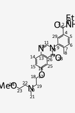 CCNC(=O)c1ccc(C)c(-n2cnc3ccc(OCCN(C)CCOC)cc3c2=O)c1